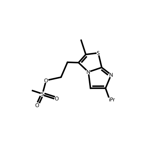 Cc1sc2nc(C(C)C)cn2c1CCOS(C)(=O)=O